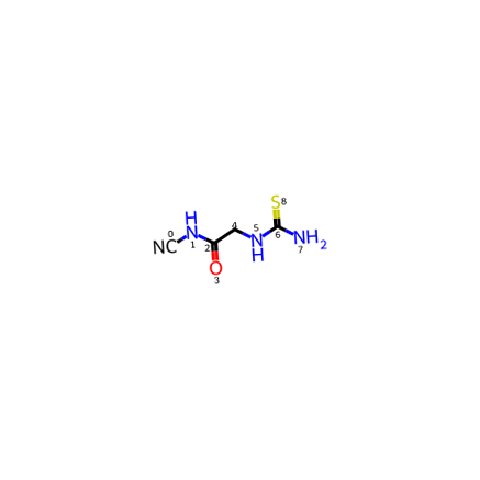 N#CNC(=O)CNC(N)=S